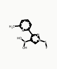 Cc1cccc(-c2nn(SF)cc2B(O)O)n1